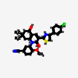 COc1ccc(C#N)cc1-n1c2c(cc(-c3nc(-c4ccc(Cl)cc4)cs3)c1=O)C(=O)CC(C)(C)C2